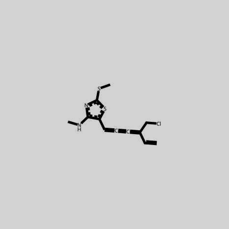 C=CC(=C=C=Cc1sc(SC)nc1NC)CCl